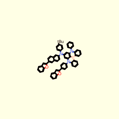 CC(C)(C)c1ccc(N(c2cc3c4c(c2)N(c2ccc(-c5cc6ccccc6o5)cc2)c2ccccc2B4c2ccccc2N3c2ccccc2)c2ccc3cc(-c4cc5ccccc5o4)ccc3c2)cc1